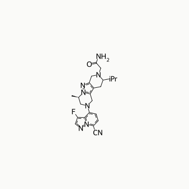 CC(C)C1Cc2c(nn3c2CN(c2ccc(C#N)n4ncc(F)c24)C[C@H]3C)CN1CC(N)=O